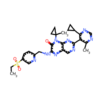 CCS(=O)(=O)c1ccc(CNc2nc3cnc(-c4c(C)ncnc4C4CC4)nc3n(C3(C)CC3)c2=O)nc1